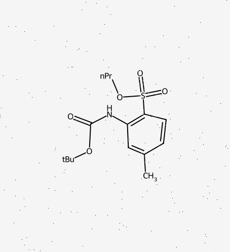 CCCOS(=O)(=O)c1ccc(C)cc1NC(=O)OC(C)(C)C